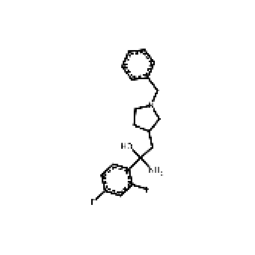 NC(O)(CC1CCN(Cc2ccccc2)C1)c1ccc(F)cc1F